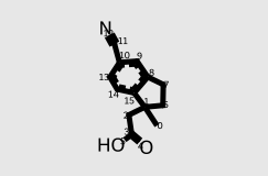 CC1(CC(=O)O)CCc2cc(C#N)ccc21